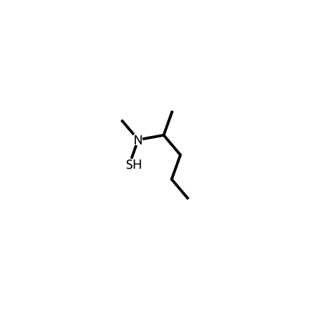 CCCC(C)N(C)S